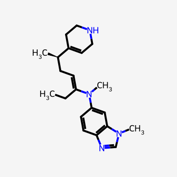 CC/C(=C\C[C@@H](C)C1=CCNCC1)N(C)c1ccc2ncn(C)c2c1